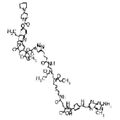 CCC(=O)N(CCNC(=O)CCCc1cn(CC(=O)O[C@]2(CC)C(=O)OCc3c2cc2n(c3=O)Cc3c-2nc2ccc(OC(=O)N4CCC(N5CCCCC5)CC4)cc2c3CC)nn1)CCN(CCSCCNC(=O)CCC(NC(=O)c1ccc(NCc2cnc3nc(N)nc(C)c3n2)cc1)C(=O)O)C(=O)CC